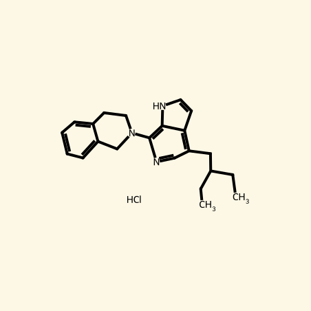 CCC(CC)Cc1cnc(N2CCc3ccccc3C2)c2[nH]ccc12.Cl